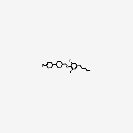 CCCCCc1cc(F)c(OCC2CCC(C3CC=C(F)CC3)CC2)c(F)c1